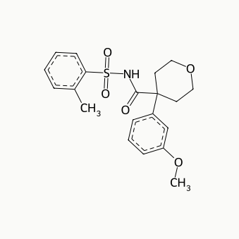 COc1cccc(C2(C(=O)NS(=O)(=O)c3ccccc3C)CCOCC2)c1